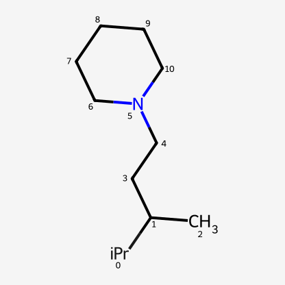 CC(C)C(C)CCN1CCCCC1